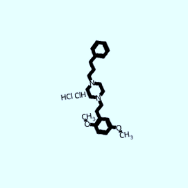 COc1ccc(OC)c(CCN2CCN(CCCc3ccccc3)CC2)c1.Cl.Cl